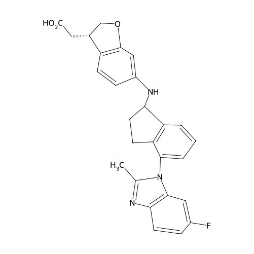 Cc1nc2ccc(F)cc2n1-c1cccc2c1CCC2Nc1ccc2c(c1)OC[C@H]2CC(=O)O